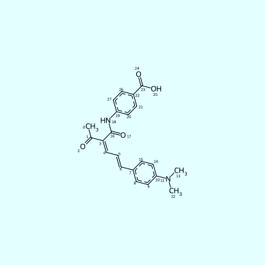 CC(=O)C(=CC=Cc1ccc(N(C)C)cc1)C(=O)Nc1ccc(C(=O)O)cc1